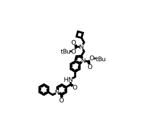 CC(C)(C)OC(=O)N(Cc1cc2ccc(CNC(=O)c3ccn(Cc4ccccc4)c(=O)c3)cc2n1C(=O)OC(C)(C)C)CC1CCC1